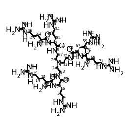 N=C(N)NCCC[C@H](NC(=O)[C@@H](N)CCCNC(=N)N)C(=O)NCCN(CCNC(=O)[C@H](CCCNC(=N)N)NC(=O)[C@@H](N)CCCNC(=N)N)CCNC(=O)[C@H](CCCNC(=N)N)NC(=O)[C@@H](N)CCCNC(=N)N